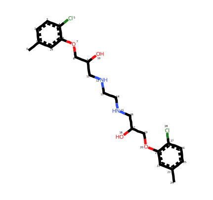 Cc1ccc(Cl)c(OCC(O)CNCCNCC(O)COc2cc(C)ccc2Cl)c1